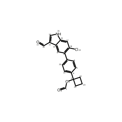 O=COC1(c2ccc(-c3cc4c(C=O)c[nH]c4cc3Cl)cc2)CCC1